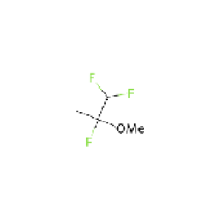 COC(C)(F)[C](F)F